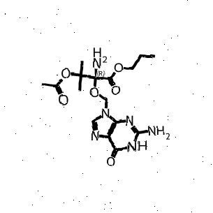 CCCOC(=O)[C@](N)(OCn1cnc2c(=O)[nH]c(N)nc21)C(C)(C)OC(C)=O